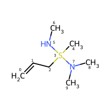 C=CCS(C)(NC)N(C)C